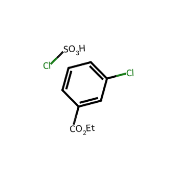 CCOC(=O)c1cccc(Cl)c1.O=S(=O)(O)Cl